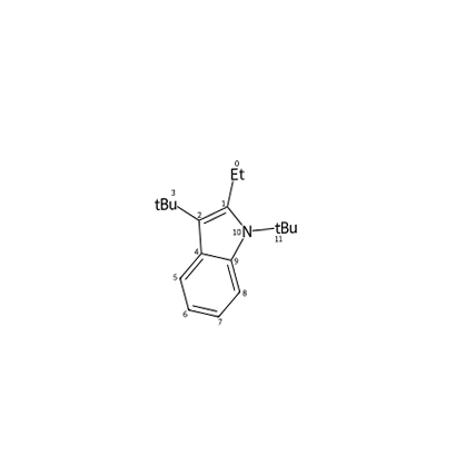 CCc1c(C(C)(C)C)c2ccccc2n1C(C)(C)C